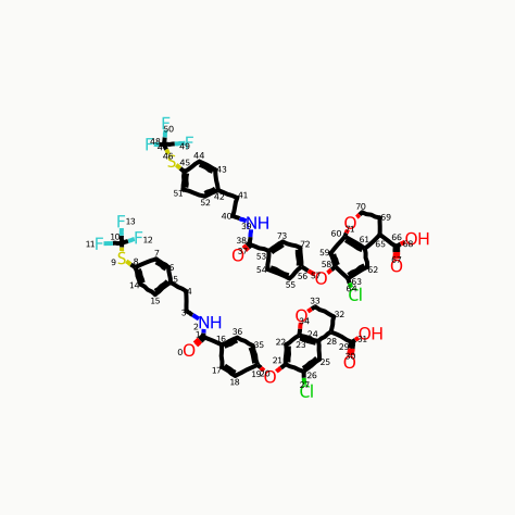 O=C(NCCc1ccc(SC(F)(F)F)cc1)c1ccc(Oc2cc3c(cc2Cl)C(C(=O)O)CCO3)cc1.O=C(NCCc1ccc(SC(F)(F)F)cc1)c1ccc(Oc2cc3c(cc2Cl)C(C(=O)O)CCO3)cc1